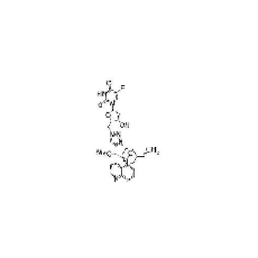 C=CC1CN2CCC1CC2C(OC)(c1cn(CC2OC(n3cc(F)c(=O)[nH]c3=O)CC2O)nn1)c1ccnc2ccccc12